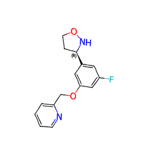 Fc1cc(OCc2ccccn2)cc([C@H]2CCON2)c1